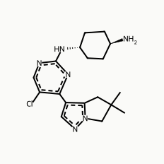 CC1(C)Cc2c(-c3nc(N[C@H]4CC[C@H](N)CC4)ncc3Cl)cnn2C1